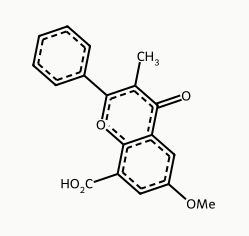 COc1cc(C(=O)O)c2oc(-c3ccccc3)c(C)c(=O)c2c1